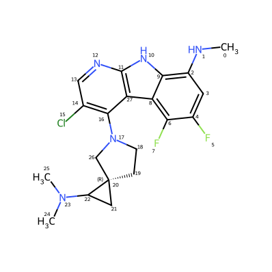 CNc1cc(F)c(F)c2c1[nH]c1ncc(Cl)c(N3CC[C@@]4(CC4N(C)C)C3)c12